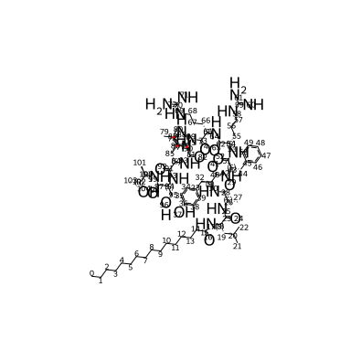 CCCCCCCCCCCCCCCC(=O)N[C@@H](CC(C)C)C(=O)N[C@@H](C)C(=O)N[C@@H](Cc1ccc(O)cc1)C(=O)N[C@@H](Cc1ccccc1)C(=O)N[C@@H](CCCNC(=N)N)C(=O)N[C@@H](CCCNC(=N)N)C(=O)N[C@@H](CC(C)C)C(=O)N[C@@H](Cc1c[nH]cn1)C(=O)N[C@@H](CO)C(=O)N[C@H](C)[C@@H](C)O